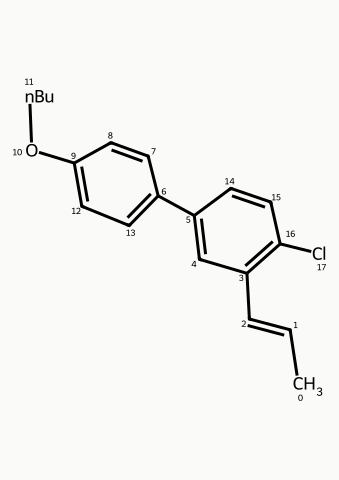 C/C=C/c1cc(-c2ccc(OCCCC)cc2)ccc1Cl